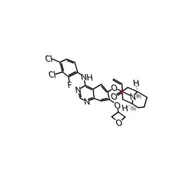 C=CC(=O)N1[C@@H]2CCC[C@H]1CC(Oc1cc3c(Nc4ccc(Cl)c(Cl)c4F)ncnc3cc1OC1COC1)C2